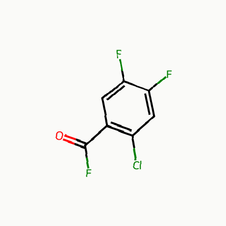 O=C(F)c1cc(F)c(F)cc1Cl